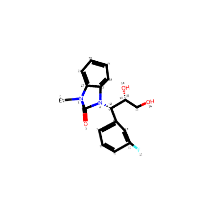 CCn1c(=O)n([C@@H](c2cccc(F)c2)[C@H](O)CO)c2ccccc21